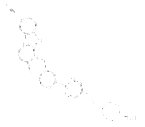 N#Cc1ccc2nc3n(Cc4cccc(-c5ncc(OC[C@H]6CC[C@H](N)CC6)cn5)c4)c(=O)ccn3c2c1